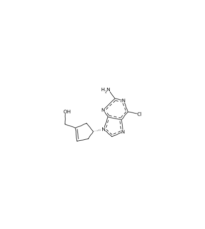 Nc1nc(Cl)c2ncn([C@@H]3CC=C(CO)C3)c2n1